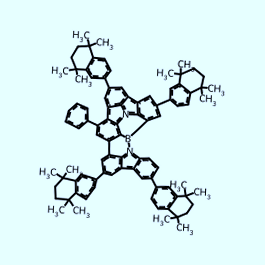 CC1(C)CCC(C)(C)c2cc(-c3ccc4c(c3)c3cc(-c5ccc6c(c5)C(C)(C)CCC6(C)C)cc5c3n4B3c4cc(-c6ccc7c(c6)C(C)(C)CCC7(C)C)cc6c7cc(-c8ccc9c(c8)C(C)(C)CCC9(C)C)cc8c9c(-c%10ccccc%10)cc-5c3c9n(c46)c78)ccc21